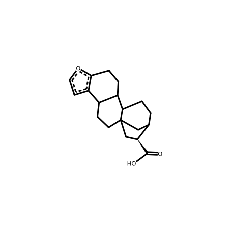 O=C(O)[C@H]1CC23CCC4c5ccoc5CCC4C2CCC1C3